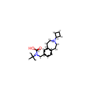 CC(C)(C)N(Cc1ccc2c(c1)CCN(C1CCC1)CC2)C(=O)O